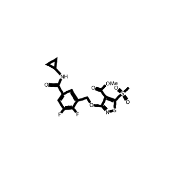 COC(=O)c1c(OCc2cc(C(=O)NC3CC3)cc(F)c2F)nsc1S(C)(=O)=O